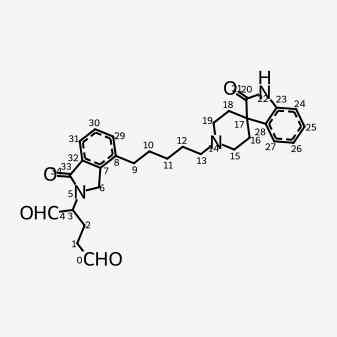 O=CCCC(C=O)N1Cc2c(CCCCCN3CCC4(CC3)C(=O)Nc3ccccc34)cccc2C1=O